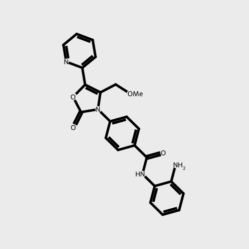 COCc1c(-c2ccccn2)oc(=O)n1-c1ccc(C(=O)Nc2ccccc2N)cc1